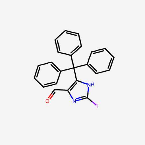 O=Cc1nc(I)[nH]c1C(c1ccccc1)(c1ccccc1)c1ccccc1